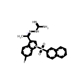 C/C(=N/NC(=N)N)c1cn(S(=O)(=O)c2ccc3ccccc3c2)c2cc(F)ccc12